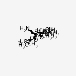 C[C@@H](O[Si](C)(C)C(C)(C)C)[C@@]1(C)C(=O)N2C(C(=O)OCC[Si](C)(C)C)=C(/C=C/CN)S[C@@H]21